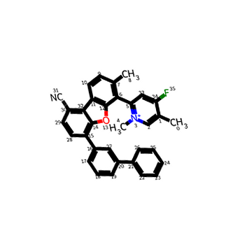 Cc1c[n+](C)c(-c2c(C)ccc3c2oc2c(-c4cccc(-c5ccccc5)c4)ccc(C#N)c23)cc1F